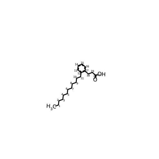 CCCCCCCCCCCCc1ccccc1CCC(=O)O